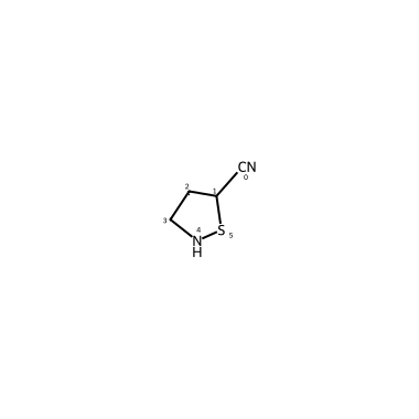 N#CC1[CH]CNS1